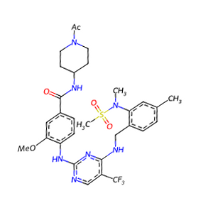 COc1cc(C(=O)NC2CCN(C(C)=O)CC2)ccc1Nc1ncc(C(F)(F)F)c(NCc2ccc(C)cc2N(C)S(C)(=O)=O)n1